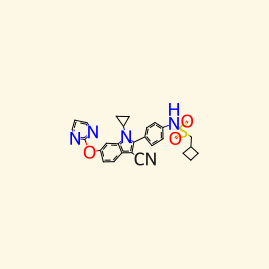 N#Cc1c(-c2ccc(NS(=O)(=O)CC3CCC3)cc2)n(C2CC2)c2cc(Oc3ncccn3)ccc12